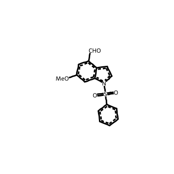 COc1cc(C=O)c2ccn(S(=O)(=O)c3ccccc3)c2c1